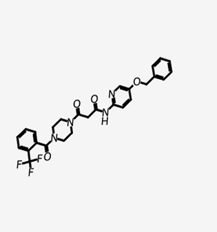 O=C(CC(=O)N1CCN(C(=O)c2ccccc2C(F)(F)F)CC1)Nc1ccc(OCc2ccccc2)cn1